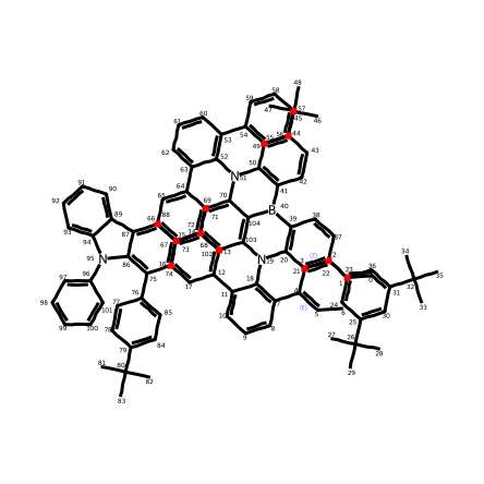 C=C/C=C\C(=C/C)c1cccc(-c2ccccc2)c1N1c2cc(-c3cc(C(C)(C)C)cc(C(C)(C)C)c3)ccc2B2c3ccc(C(C)(C)C)cc3N(c3c(-c4ccccc4)cccc3-c3ccccc3)c3cc(-c4cc(-c5ccc(C(C)(C)C)cc5)c5c(c4)c4ccccc4n5-c4ccccc4)cc1c32